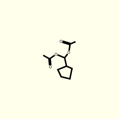 CC(=O)OC(OC(C)=O)C1CCCC1